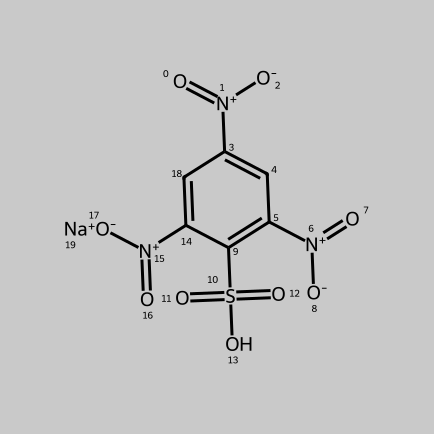 O=[N+]([O-])c1cc([N+](=O)[O-])c(S(=O)(=O)O)c([N+](=O)[O-])c1.[Na+]